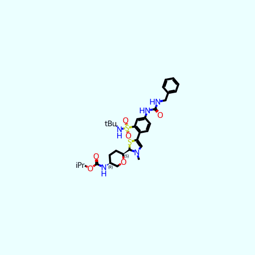 CC(C)OC(=O)N[C@@H]1CC[C@@H](C2SC(c3ccc(NC(=O)NCc4ccccc4)cc3S(=O)(=O)NC(C)(C)C)=CN2C)OC1